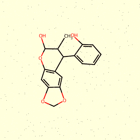 CC1C(O)Oc2cc3c(cc2C1c1ccccc1O)OCO3